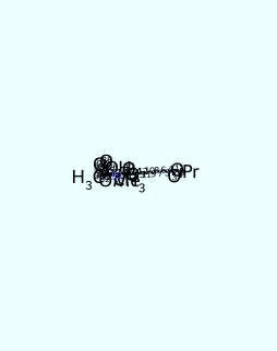 [CH2]C([CH2])OC(=O)CCCCCCCCCCCOC(=O)CC/C(C)=C/Cc1c(O)c2c(c(C)c1OC)COC2=O